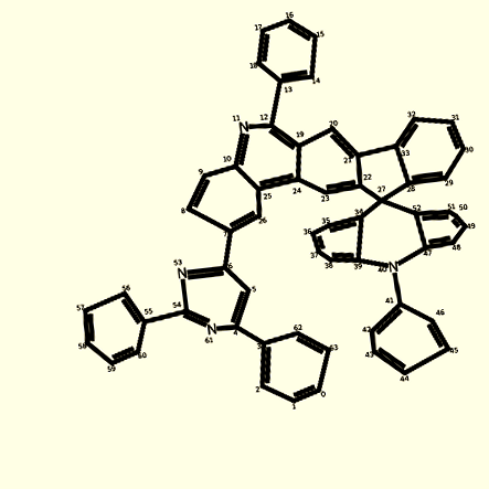 c1ccc(-c2cc(-c3ccc4nc(-c5ccccc5)c5cc6c(cc5c4c3)C3(c4ccccc4-6)c4ccccc4N(c4ccccc4)c4ccccc43)nc(-c3ccccc3)n2)cc1